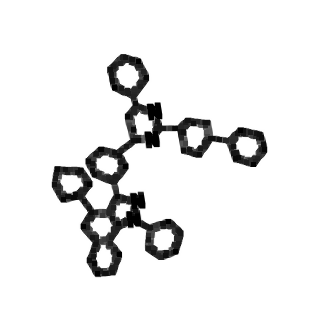 c1ccc(-c2ccc(-c3nc(-c4ccccc4)cc(-c4cccc(-c5nn(-c6ccccc6)c6c5c(-c5ccccc5)cc5ccccc56)c4)n3)cc2)cc1